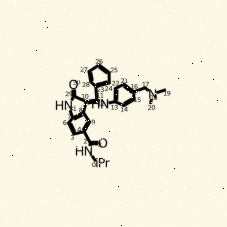 CC(C)NC(=O)c1ccc2c(c1)C(=C(Nc1ccc(CN(C)C)cc1)c1ccccc1)C(=O)N2